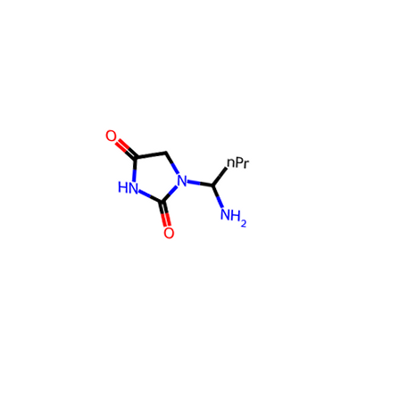 CCCC(N)N1CC(=O)NC1=O